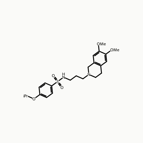 COc1cc2c(cc1OC)CN(CCCNS(=O)(=O)c1ccc(OC(C)C)cc1)CC2